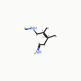 CNC/C(C)=C(/C)CC=N